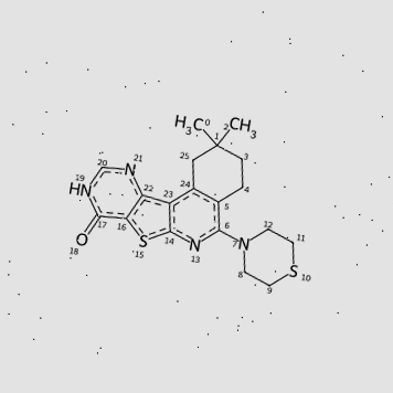 CC1(C)CCc2c(N3CCSCC3)nc3sc4c(=O)[nH]cnc4c3c2C1